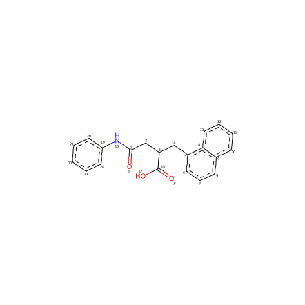 O=C(CC(Cc1cccc2ccccc12)C(=O)O)Nc1ccccc1